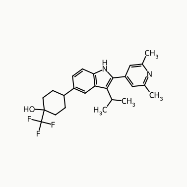 Cc1cc(-c2[nH]c3ccc(C4CCC(O)(C(F)(F)F)CC4)cc3c2C(C)C)cc(C)n1